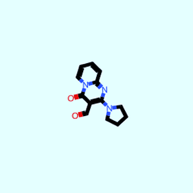 O=Cc1c(N2CCCC2)nc2ccccn2c1=O